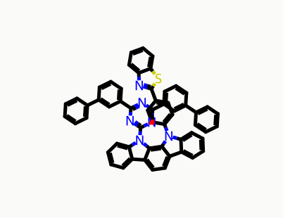 c1ccc(-c2cccc(-c3nc(-c4cccc(-c5ccccc5)c4)nc(-n4c5ccccc5c5ccc6c7ccccc7n(-c7ccc(-c8nc9ccccc9s8)cc7)c6c54)n3)c2)cc1